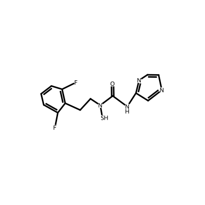 O=C(Nc1cnccn1)N(S)CCc1c(F)cccc1F